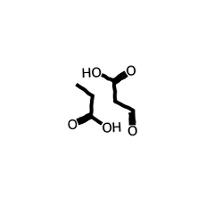 CCC(=O)O.O=CCC(=O)O